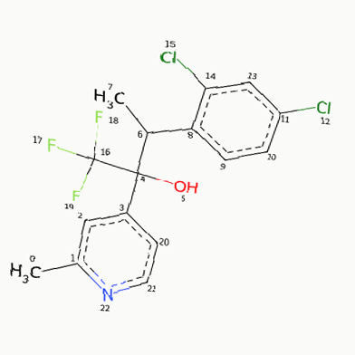 Cc1cc(C(O)(C(C)c2ccc(Cl)cc2Cl)C(F)(F)F)ccn1